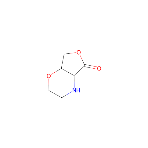 O=C1OCC2OCCNC12